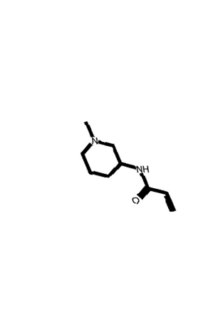 C=CC(=O)NC1CCCN(C)C1